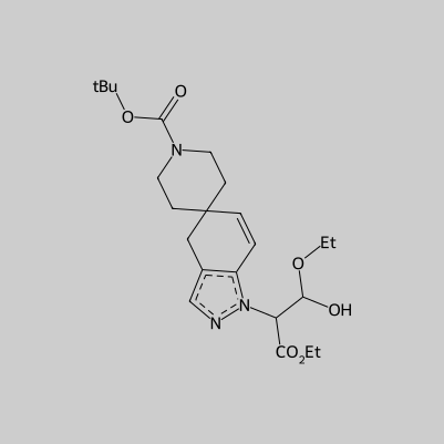 CCOC(=O)C(C(O)OCC)n1ncc2c1C=CC1(CCN(C(=O)OC(C)(C)C)CC1)C2